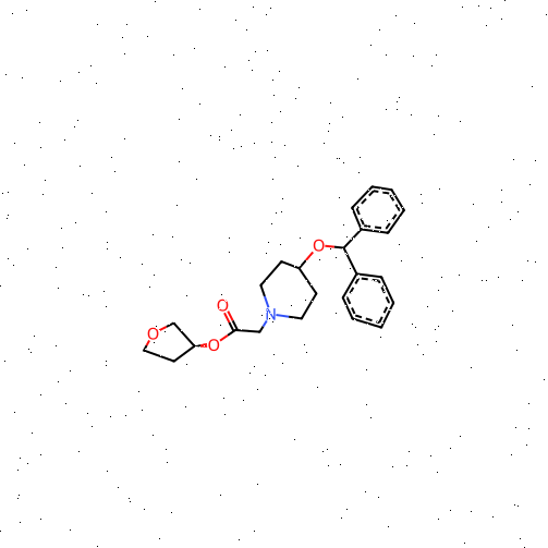 O=C(CN1CCC(OC(c2ccccc2)c2ccccc2)CC1)O[C@H]1CCOC1